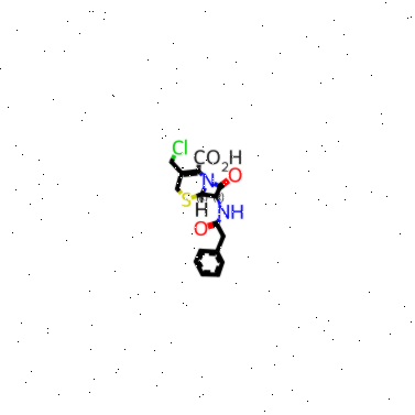 O=C(Cc1ccccc1)N[C@@H]1C(=O)N2C(C(=O)O)=C(CCl)CS[C@H]12